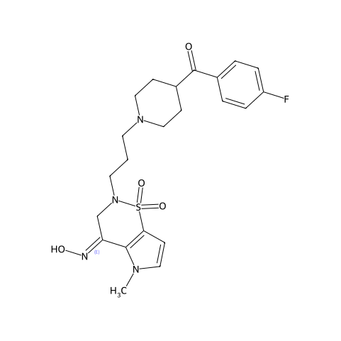 Cn1ccc2c1/C(=N/O)CN(CCCN1CCC(C(=O)c3ccc(F)cc3)CC1)S2(=O)=O